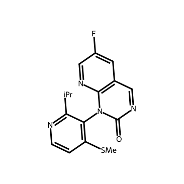 CSc1ccnc(C(C)C)c1-n1c(=O)ncc2cc(F)cnc21